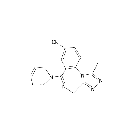 Cc1nnc2n1-c1ccc(Cl)cc1C(N1CC=CCC1)=NC2